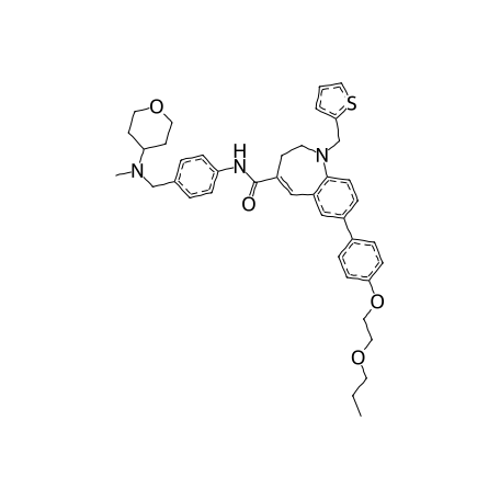 CCCOCCOc1ccc(-c2ccc3c(c2)C=C(C(=O)Nc2ccc(CN(C)C4CCOCC4)cc2)CCN3Cc2cccs2)cc1